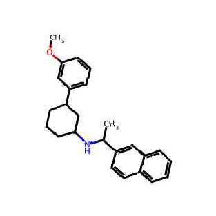 COc1cccc(C2CCCC(NC(C)c3ccc4ccccc4c3)C2)c1